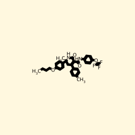 CCCCOc1ccc([C@]2(C)CC(c3ccc(C)cc3)=C(C(=O)Nc3ccc(OC(F)(F)F)cc3)C(=O)N2)cc1